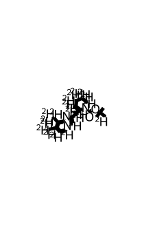 [2H]CC(C)(C)OC(=O)N1C([2H])([2H])C([2H])([2H])C([2H])([2H])C([2H])([2H])[C@@]1([2H])C([2H])([2H])c1nc2c(C([2H])([2H])[2H])c(C([2H])([2H])[2H])c([2H])c([2H])n2c1[2H]